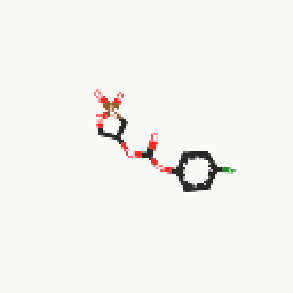 O=C(Oc1ccc(F)cc1)OC1COS(=O)(=O)C1